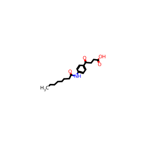 CCCCCCCC(=O)Nc1ccc(C(=O)CCC(=O)O)cc1